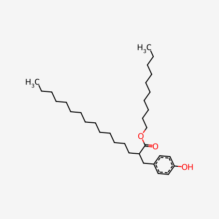 CCCCCCCCCCCCCCC(Cc1ccc(O)cc1)C(=O)OCCCCCCCCCC